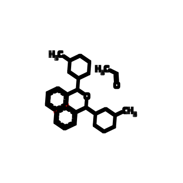 CC1CCCC(C(OC(c2ccccc2)C2CCCC(C)C2)c2ccccc2)C1.CC=O